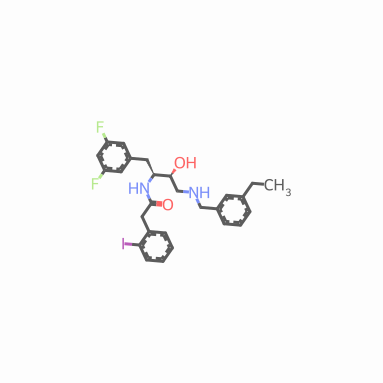 CCc1cccc(CNC[C@H](O)[C@H](Cc2cc(F)cc(F)c2)NC(=O)Cc2ccccc2I)c1